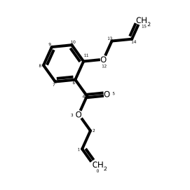 C=CCOC(=O)c1ccccc1OCC=C